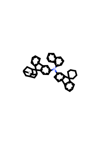 c1ccc2c(c1)-c1ccc(N(c3ccc4c(c3)-c3ccccc3C43C4CCC5CC(C4)CC3C5)c3cccc4ccccc34)cc1C21CCCCC1